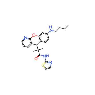 CCCCNc1ccc2c(c1)Oc1ncccc1C2C(C)(C)C(=O)Nc1nccs1